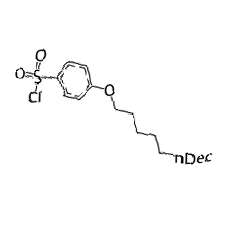 CCCCCCCCCCCCCCCOc1ccc(S(=O)(=O)Cl)cc1